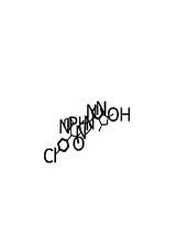 C[C@@H]1C[C@H](O)c2ncnc(N3CCN(C(=O)C(c4ccc(Cl)cc4)[C@@H]4PCCN4C)CC3)c21